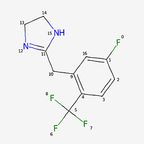 Fc1ccc(C(F)(F)F)c(CC2=NCCN2)c1